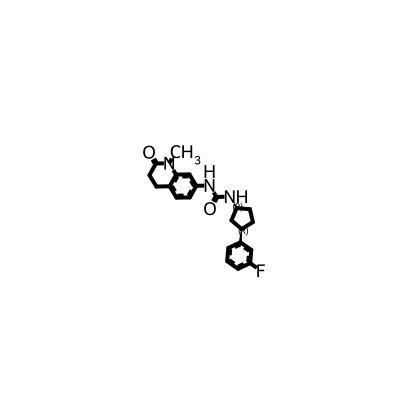 CN1C(=O)CCc2ccc(NC(=O)N[C@@H]3CC[C@@H](c4cccc(F)c4)C3)cc21